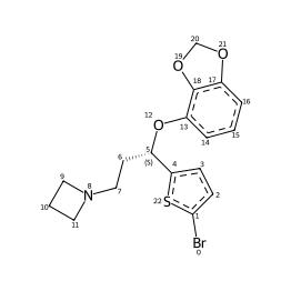 Brc1ccc([C@H](CCN2CCC2)Oc2cccc3c2OCO3)s1